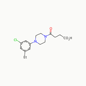 CCc1cc(Cl)cc(N2CCN(C(=O)CCC(=O)O)CC2)c1